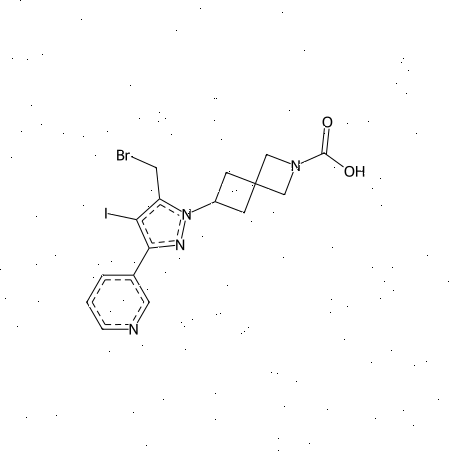 O=C(O)N1CC2(CC(n3nc(-c4cccnc4)c(I)c3CBr)C2)C1